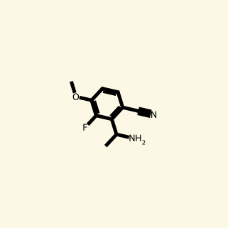 COc1ccc(C#N)c(C(C)N)c1F